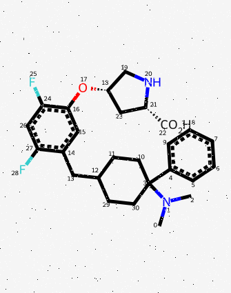 CN(C)C1(c2ccccc2)CCC(Cc2cc(O[C@@H]3CN[C@H](C(=O)O)C3)c(F)cc2F)CC1